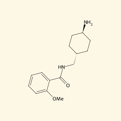 COc1ccccc1C(=O)NC[C@H]1CC[C@H](N)CC1